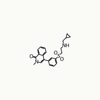 Cn1cc(-c2cccc(S(=O)(=O)CCNCC3CC3)c2)c2ccccc2c1=O